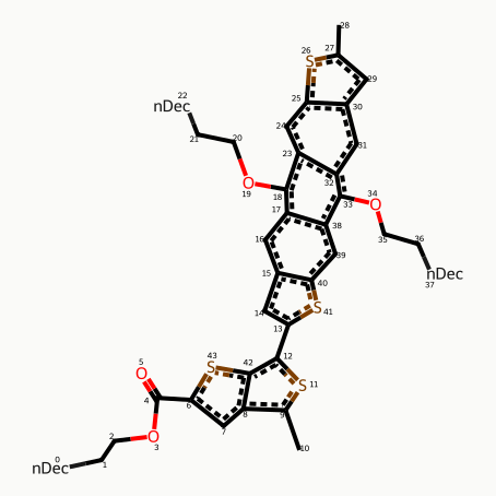 CCCCCCCCCCCCOC(=O)c1cc2c(C)sc(-c3cc4cc5c(OCCCCCCCCCCCC)c6cc7sc(C)cc7cc6c(OCCCCCCCCCCCC)c5cc4s3)c2s1